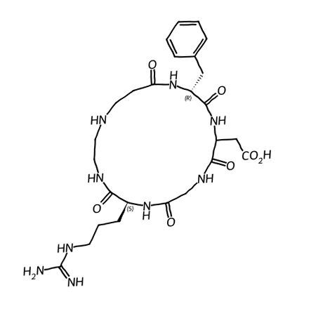 N=C(N)NCCC[C@@H]1NC(=O)CNC(=O)C(CC(=O)O)NC(=O)[C@@H](Cc2ccccc2)NC(=O)CCNCCNC1=O